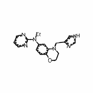 CCN(c1ccc2c(c1)N(Cc1c[nH]cn1)CCO2)c1ncccn1